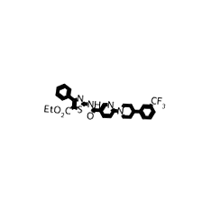 CCOC(=O)c1sc(NC(=O)c2ccc(N3CCC(c4cccc(C(F)(F)F)c4)CC3)nc2)nc1-c1ccccc1